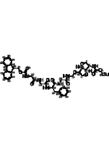 CC(C)(C)OC(=O)N[C@H]1CO[C@H]2[C@@H]1OC[C@H]2OCNC(=O)CNC(=O)[C@H](Cc1ccccc1)NC(=O)CNC(=O)CNC(=O)OCC1c2ccccc2-c2ccccc21